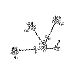 CCNC1C(OCCCCCCCCCCCC(=O)NCCCCC(NC(=O)C(CCCCNC(=O)CCCCCCCCCCCOC2OC(COC(C)=O)C(OC(C)=O)C(OC(C)=O)C2NC(C)=O)NC(=O)CCCCCCCCCCCOC2OC(COC(C)=O)C(OC(C)=O)C(OC(C)=O)C2NC(C)=O)C(=O)NCCCCCCOP(OCC/C=N/C)N(C(C)C)C(C)C)OC(COC(C)=O)C(OC(C)=O)C1OC(C)=O